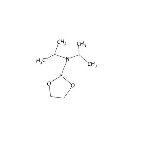 CC(C)N(C(C)C)P1OCCO1